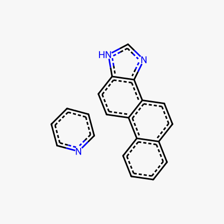 c1ccc2c(c1)ccc1c2ccc2[nH]cnc21.c1ccncc1